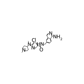 CN1CCC(N(C)c2ncc(C(=O)NCc3ccc4c(N)nccc4c3)cc2Cl)CC1